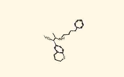 CC(NCCCCc1ccccc1)C(O)c1ccc2c(c1)CCCS2